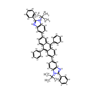 CC(C)(C)n1c(-c2ccccc2)nc2cc(-c3ccc4c(-c5ccccc5)c5cc(-c6ccc7c(c6)nc(-c6ccccc6)n7C(C)(C)C)ccc5c(-c5ccccc5)c4c3)ccc21